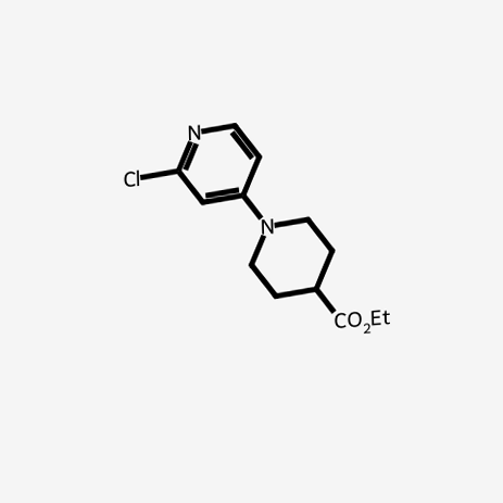 CCOC(=O)C1CCN(c2ccnc(Cl)c2)CC1